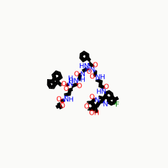 CC[C@@]1(O)COCc2c1cc1n(c2=O)Cc2c-1nc1cc(F)c(C)c3c1c2[C@@H](NC(=O)CCCNC(=O)CNC(=O)[C@H](Cc1ccccc1)NC(=O)CNC(=O)CNC(=O)[C@H](CCCCNC(=O)OC(C)(C)C)NC(=O)OCC1c2ccccc2-c2ccccc21)CC3